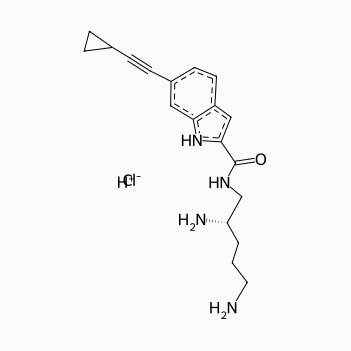 NCCC[C@H](N)CNC(=O)c1cc2ccc(C#CC3CC3)cc2[nH]1.[Cl-].[H+]